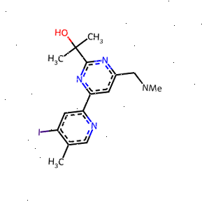 CNCc1cc(-c2cc(I)c(C)cn2)nc(C(C)(C)O)n1